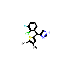 CC(C)c1cc(C(c2c[nH]cn2)c2cccc(F)c2Cl)sc1C(C)C